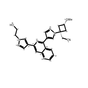 CO[C@H]1C[C@](CC#N)(n2cc(-c3nc(-c4cnn(CCO)c4)cc4ncccc34)cn2)C1